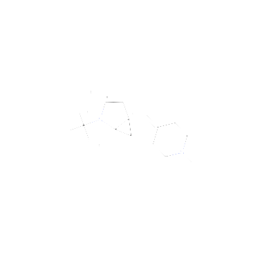 C[C@@H]1C[C@@]2(C=C3CCN(C)CC3)CC2N1C(C)(C)C